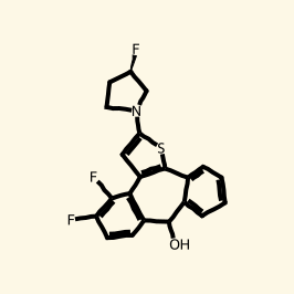 OC1c2ccccc2-c2sc(N3CC[C@@H](F)C3)cc2-c2c1ccc(F)c2F